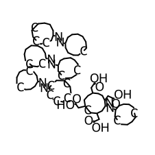 C1CCCCCC(N=NC2CCCCCCCCCCC2)CCCCC1.C1CCCCCC(N=NC2CCCCCCCCCCC2)CCCCC1.C1CCCCCC(N=NC2CCCCCCCCCCC2)CCCCC1.O=C(O)CC1CCC(CC(=O)O)CCC(CC(=O)O)(N=NC2CCCCCCCCCCC2)CCC(CC(=O)O)CC1